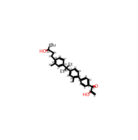 C=C(O)C(=O)c1ccc(-c2ccc(C(CC)(CC)c3ccc(CCC(O)C(C)(C)C)c(C)c3)cc2C)cc1